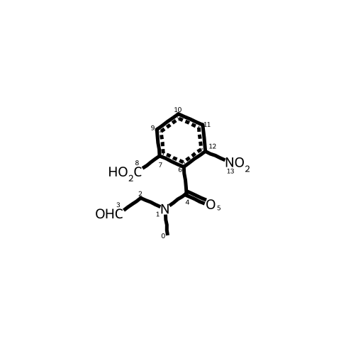 CN(CC=O)C(=O)c1c(C(=O)O)cccc1[N+](=O)[O-]